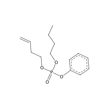 C=CCCOP(=O)(OCCCC)Oc1ccccc1